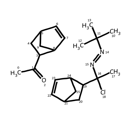 CC(=O)C1CC2C=CC1C2.CC(C)(C)N=NC(C)(Cl)C1CC2C=CC1C2